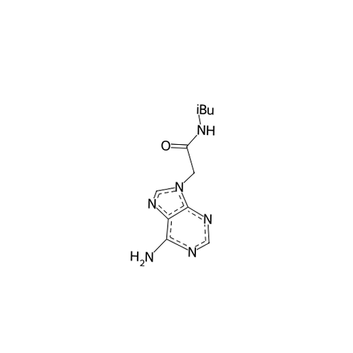 CCC(C)NC(=O)Cn1cnc2c(N)ncnc21